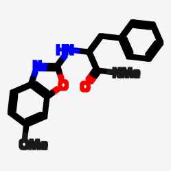 CNC(=O)C(Cc1ccccc1)Nc1nc2ccc(OC)cc2o1